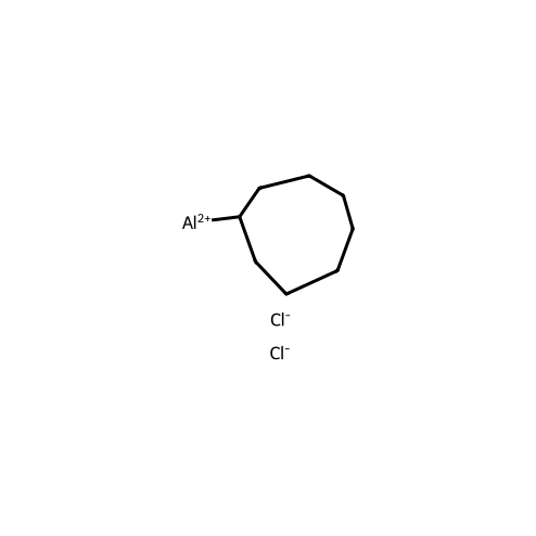 [Al+2][CH]1CCCCCCC1.[Cl-].[Cl-]